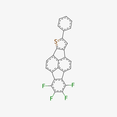 Fc1c(F)c(F)c2c(c1F)-c1ccc3c4c(ccc-2c14)-c1sc(-c2ccccc2)cc1-3